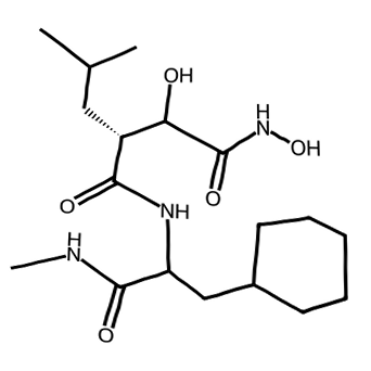 CNC(=O)C(CC1CCCCC1)NC(=O)[C@H](CC(C)C)C(O)C(=O)NO